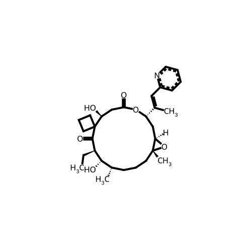 CC[C@H]1C(=O)C2(CCC2)[C@@H](O)CC(=O)O[C@H](C(C)=Cc2ccccn2)C[C@H]2O[C@]2(C)CCC[C@H](C)[C@@H]1O